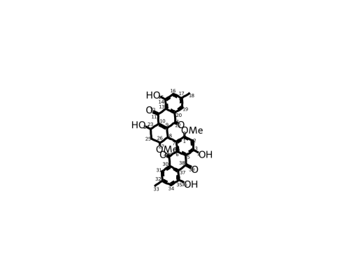 COc1cc(O)c2c(c1C1C3=C(C(=O)c4c(O)cc(C)cc4C3=O)C(O)CC1OC)C(=O)c1cc(C)cc(O)c1C2=O